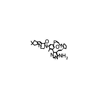 C=CC(=O)N1CCC[C@H]1C=Cc1c(N)ncnc1-c1cc(F)cc(N2CCn3c(cc4c3CC(C)(C)C4)C2=O)c1C